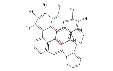 [2H]c1c([2H])c([2H])c2c(-c3cccc4c5ccccc5c5ccccc5c34)c3c(-c4ccccc4-c4ccccc4)c([2H])c([2H])c([2H])c3c([2H])c2c1[2H]